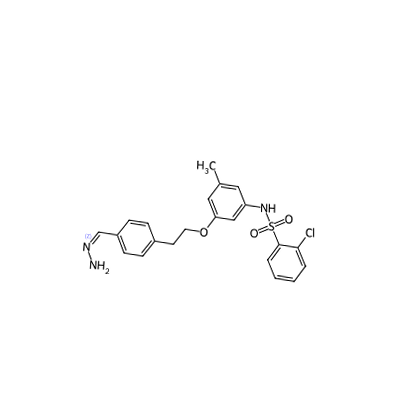 Cc1cc(NS(=O)(=O)c2ccccc2Cl)cc(OCCc2ccc(/C=N\N)cc2)c1